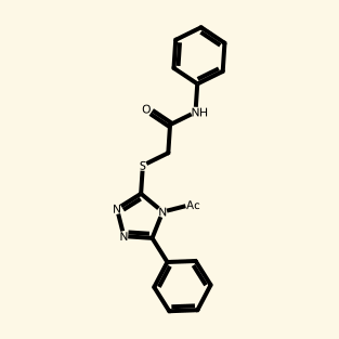 CC(=O)n1c(SCC(=O)Nc2ccccc2)nnc1-c1ccccc1